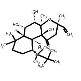 C=C[C@@]1(C)CC(=O)[C@]2(O)[C@]3(C)[C@@H]([C@H](O)[C@H](O)[C@@]2(C)O1)C(C)(C)CC[C@@H]3[Si](C)(C)C(C)(C)C